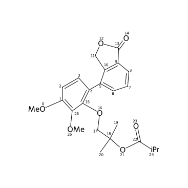 COc1ccc(-c2cccc3c2COC3=O)c(OCC(C)(C)OC(=O)C(C)C)c1OC